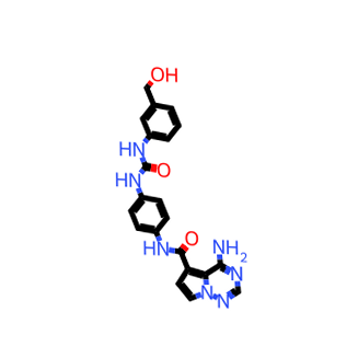 Nc1ncnn2ccc(C(=O)Nc3ccc(NC(=O)Nc4cccc(CO)c4)cc3)c12